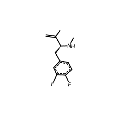 C=C(C)[C@H](Cc1ccc(F)c(F)c1)NC